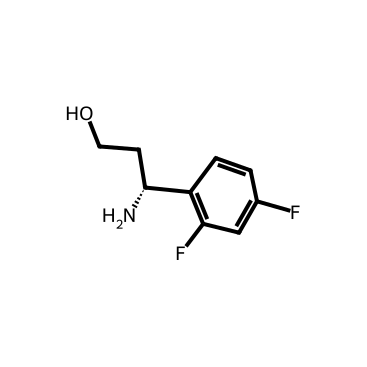 N[C@H](CCO)c1ccc(F)cc1F